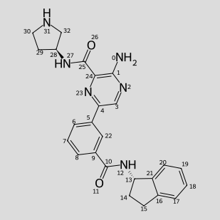 Nc1ncc(-c2cccc(C(=O)N[C@H]3CCc4ccccc43)c2)nc1C(=O)N[C@H]1CCNC1